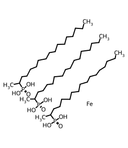 CCCCCCCCCCCCCCCC(C)P(=O)(O)O.CCCCCCCCCCCCCCCC(C)P(=O)(O)O.CCCCCCCCCCCCCCCC(C)P(=O)(O)O.[Fe]